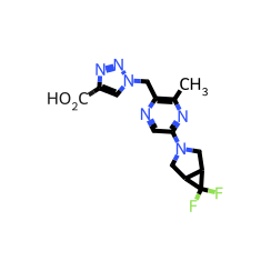 Cc1nc(N2CC3C(C2)C3(F)F)cnc1Cn1cc(C(=O)O)nn1